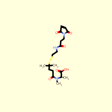 C[C@@H](C(=O)O)N(C)C(=O)CCC(C)(C)SSCCNC(=O)CCN1C(=O)C=CC1=O